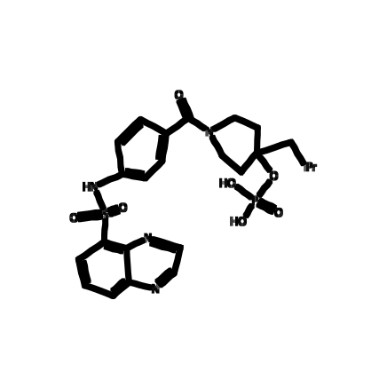 CC(C)CC1(OP(=O)(O)O)CCN(C(=O)c2ccc(NS(=O)(=O)c3cccc4nccnc34)cc2)CC1